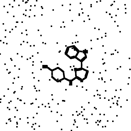 OC1CCC(Nc2nccc(-c3c[nH]c4ccccc34)n2)CC1